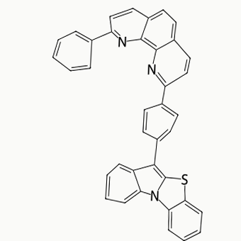 c1ccc(-c2ccc3ccc4ccc(-c5ccc(-c6c7ccccc7n7c6sc6ccccc67)cc5)nc4c3n2)cc1